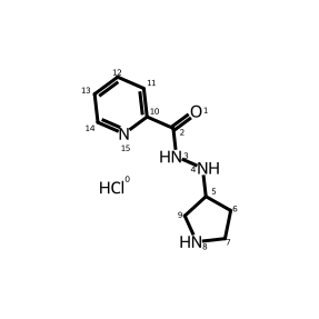 Cl.O=C(NNC1CCNC1)c1ccccn1